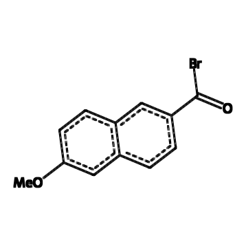 COc1ccc2cc(C(=O)Br)ccc2c1